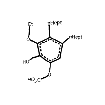 CCCCCCCc1cc(OC(=O)O)c(O)c(OCC)c1CCCCCCC